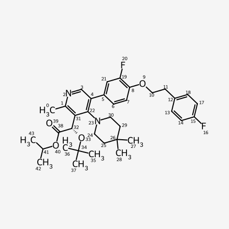 Cc1ncc(-c2ccc(OCCc3ccc(F)cc3)c(F)c2)c(N2CCC(C)(C)CC2)c1[C@H](OC(C)(C)C)C(=O)OC(C)C